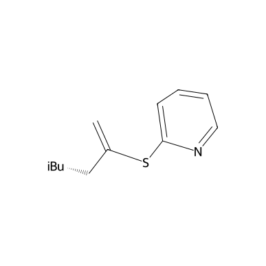 C=C(C[C@@H](C)CC)Sc1ccccn1